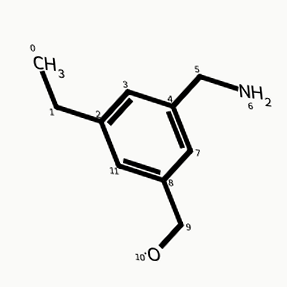 CCc1cc(CN)cc(C[O])c1